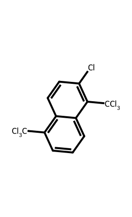 Clc1ccc2c(C(Cl)(Cl)Cl)cccc2c1C(Cl)(Cl)Cl